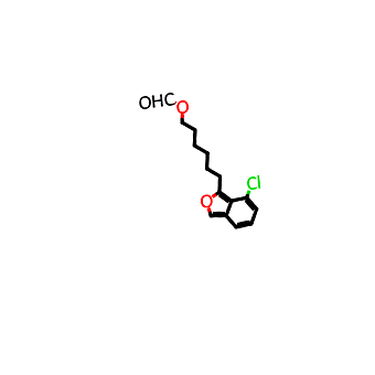 O=COCCCCCCc1occ2cccc(Cl)c12